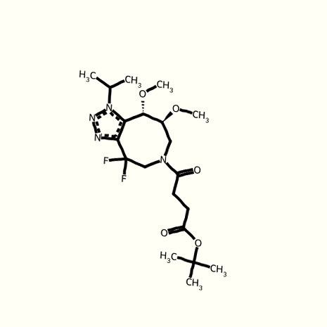 CO[C@H]1CN(C(=O)CCC(=O)OC(C)(C)C)CC(F)(F)c2nnn(C(C)C)c2[C@@H]1OC